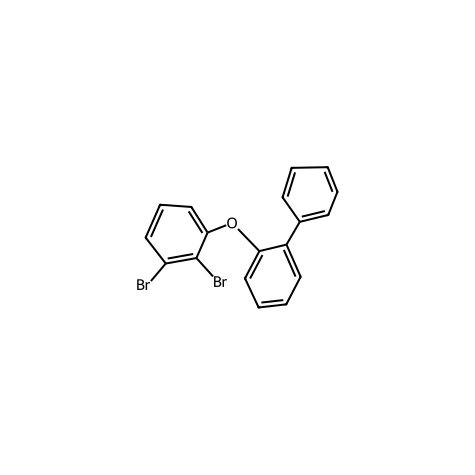 Brc1cccc(Oc2ccccc2-c2ccccc2)c1Br